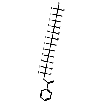 C=C(CC(F)(F)C(F)(F)C(F)(F)C(F)(F)C(F)(F)C(F)(F)C(F)(F)C(F)(F)C(F)(F)C(F)(F)C(F)(F)C(F)(F)F)c1ccccc1